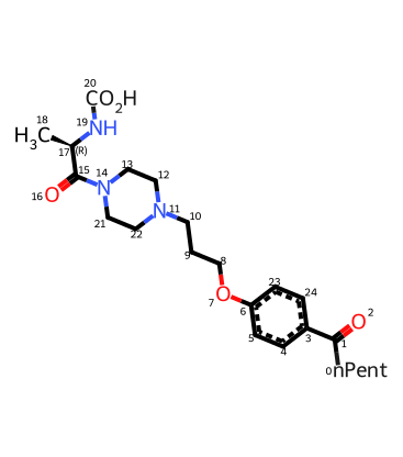 CCCCCC(=O)c1ccc(OCCCN2CCN(C(=O)[C@@H](C)NC(=O)O)CC2)cc1